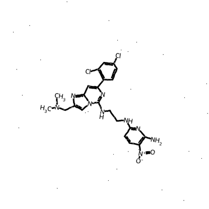 CN(C)Cc1cn2c(NCCNc3ccc([N+](=O)[O-])c(N)n3)nc(-c3ccc(Cl)cc3Cl)cc2n1